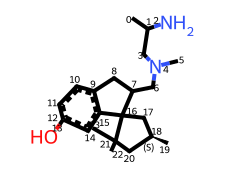 CC(N)CN(C)CC1Cc2ccc(O)cc2C12C[C@@H](C)CC2(C)C